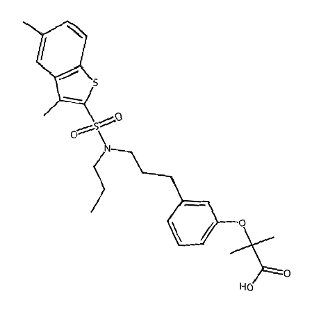 CCCN(CCCc1cccc(OC(C)(C)C(=O)O)c1)S(=O)(=O)c1sc2ccc(C)cc2c1C